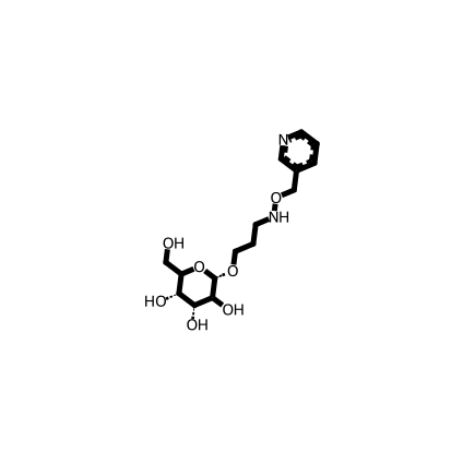 OCC1O[C@H](OCCCNOCc2cccnc2)C(O)[C@H](O)[C@@H]1O